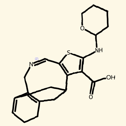 O=C(O)c1c(NC2CCCCO2)sc2c1C1CC3=CCCC(=C3C/N=C\2)C1